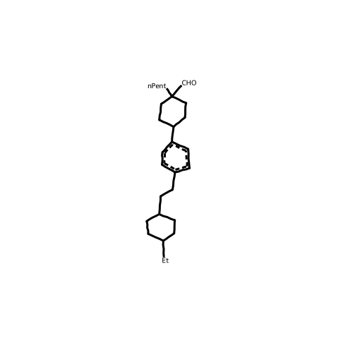 CCCCCC1(C=O)CCC(c2ccc(CCC3CCC(CC)CC3)cc2)CC1